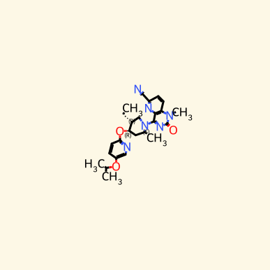 CC[C@@H]1CN(c2nc(=O)n(C)c3ccc(C#N)nc23)[C@@H](C)C[C@H]1Oc1ccc(OC(C)C)cn1